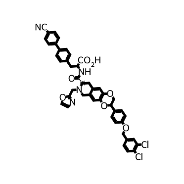 N#Cc1ccc(-c2ccc(CC(NC(=O)[C@@H]3Cc4cc5c(cc4CN3Cc3ncco3)OC(c3ccc(OCc4ccc(Cl)c(Cl)c4)cc3)CO5)C(=O)O)cc2)cc1